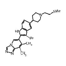 CSCCN1CCC(c2ccc3[nH]c(-c4cn5cnnc5c(C)c4C)c(C(C)C)c3c2)CC1